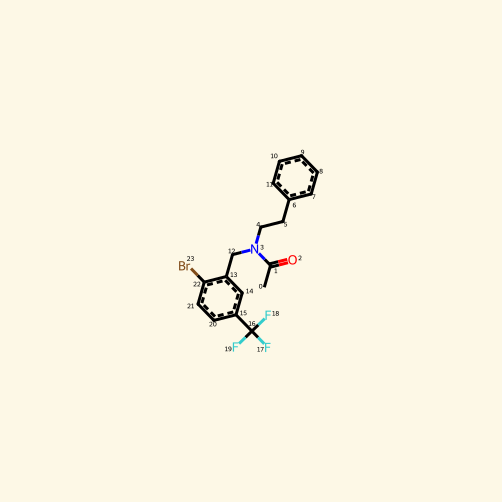 CC(=O)N(CCc1ccccc1)Cc1cc(C(F)(F)F)ccc1Br